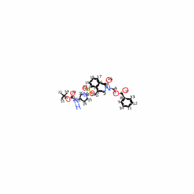 Cc1cn(COC(=O)c2ccccc2)c(=O)c2cccc(S(=O)(=O)N3CCC(NC(=O)OC(C)(C)C)C3)c12